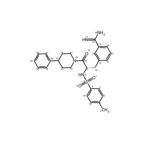 Cc1ccc(S(=O)(=O)N[C@@H](Cc2cccc(C(=N)N)c2)C(=O)N2CCC(c3ccccc3)CC2)cc1